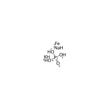 O=P(O)(O)O.[Fe].[KH].[NaH]